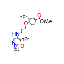 CCCc1cc(C(=O)OC)ccc1OCCCNc1cnn(CC)c(=O)c1CCC